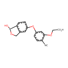 [C-]#[N+]c1ccc(Oc2ccc3c(c2)COB3O)cc1OCC(=O)O